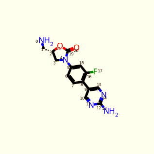 NC[C@H]1CN(c2ccc(-c3cnc(N)nc3)c(F)c2)C(=O)O1